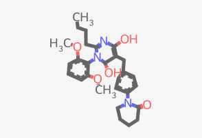 CCCCC1=NC(O)=C(Cc2ccc(N3CCCCC3=O)cc2)C(O)N1c1c(OC)cccc1OC